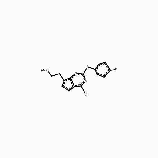 COCCn1ccc2c(Cl)nc(Sc3ccc(F)cc3)nc21